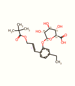 CCc1ccc(/C=C/COC(=O)C(C)(C)C)c(O[C@@H]2O[C@H](C(=O)O)[C@@H](O)[C@H](O)[C@H]2O)c1